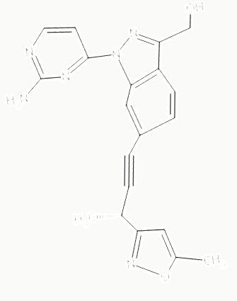 Cc1cc([C@H](C)C#Cc2ccc3c(CO)nn(-c4ccnc(N)n4)c3c2)no1